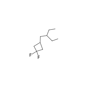 CCC(CC)CC1CC(F)(F)C1